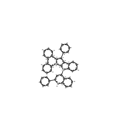 c1ccc(-c2cc(-n3c4ccccc4c4c(-c5ccccc5)c5c6ccccc6c6ccccc6n5c43)c3ccccc3n2)cc1